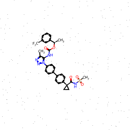 Cc1nnn(-c2ccc(-c3ccc(C4(C(=O)NS(C)(=O)=O)CC4)cc3)cc2)c1NC(=O)O[C@H](C)c1cccc(C(F)(F)F)c1